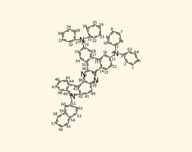 c1ccc(N(c2ccccc2)c2ccc3c(c2)c2cc(N(c4ccccc4)c4ccccc4)ccc2c2nc4c(ccc5c4c4ccccc4n5-c4ccc5ccccc5c4)nc32)cc1